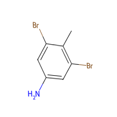 Cc1c(Br)cc(N)cc1Br